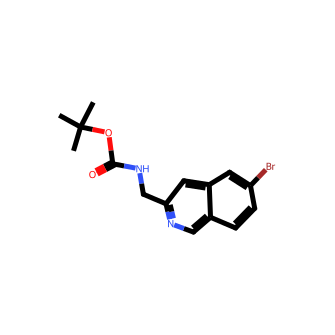 CC(C)(C)OC(=O)NCc1cc2cc(Br)ccc2cn1